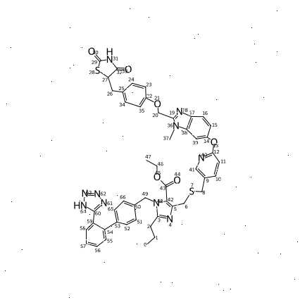 CCCc1nc(CSCc2ccc(Oc3ccc4nc(COc5ccc(CC6SC(=O)NC6=O)cc5)n(C)c4c3)nc2)c(C(=O)OCC)n1Cc1ccc(-c2ccccc2-c2nnn[nH]2)cc1